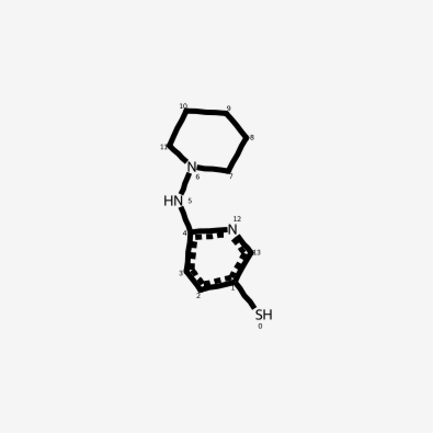 Sc1ccc(NN2CCCCC2)nc1